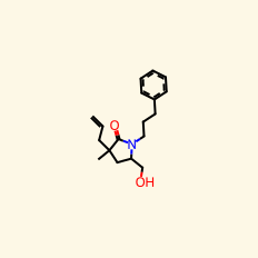 C=CCC1(C)CC(CO)N(CCCc2ccccc2)C1=O